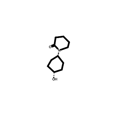 O=C1CCCCN1[C@H]1CC[C@@H](O)CC1